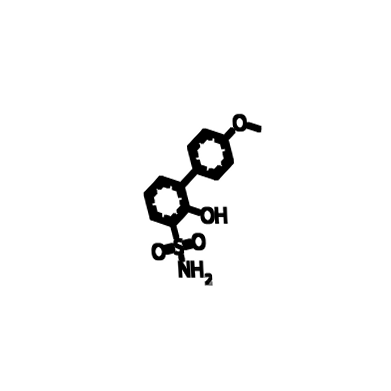 COc1ccc(-c2cccc(S(N)(=O)=O)c2O)cc1